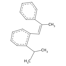 CC(=Cc1ccccc1C(C)C)c1ccccc1